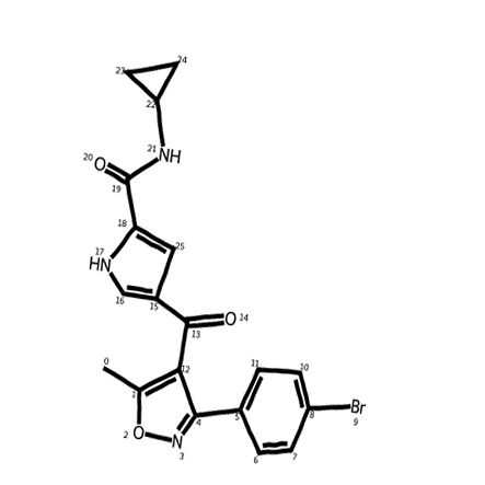 Cc1onc(-c2ccc(Br)cc2)c1C(=O)c1c[nH]c(C(=O)NC2CC2)c1